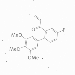 C=CC(=O)c1cc(F)ccc1-c1cc(OC)c(OC)c(OC)c1